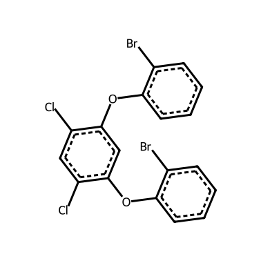 Clc1cc(Cl)c(Oc2ccccc2Br)cc1Oc1ccccc1Br